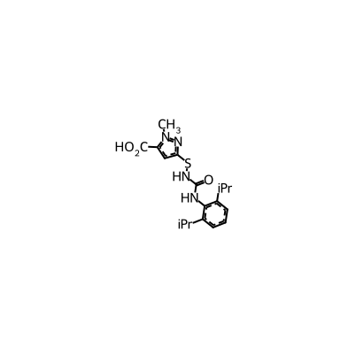 CC(C)c1cccc(C(C)C)c1NC(=O)NSc1cc(C(=O)O)n(C)n1